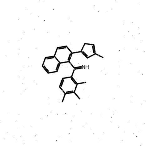 CC1=CCC(c2ccc3ccccc3c2C(=N)c2ccc(C)c(C)c2C)=C1